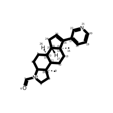 C[C@]12CCN(C=O)C1CC[C@@H]1C2CC[C@]2(C)C(c3cccnc3)=CC[C@@H]12